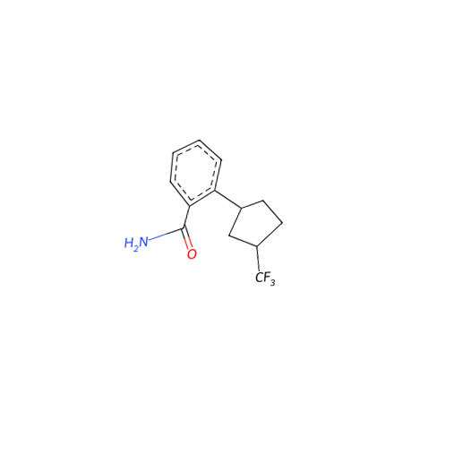 NC(=O)c1ccccc1C1CCC(C(F)(F)F)C1